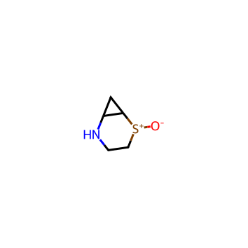 [O-][S+]1CCNC2CC21